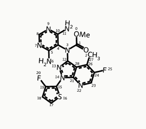 COC(=O)N(c1c(N)ncnc1N)c1nn(-c2sccc2F)c2ncc(F)c(C)c12